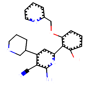 N#Cc1c(C2CCCNC2)cc(-c2c(O)cccc2OCc2ccccn2)nc1N